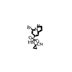 N#CC1(NS(=O)(=O)c2cc(Br)n3nccc3c2)CC1